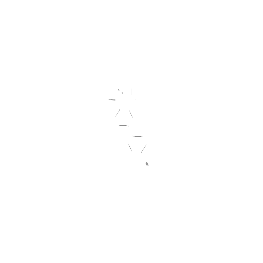 C#Cc1ccc(-c2ccc(C(N)=O)cc2)cc1